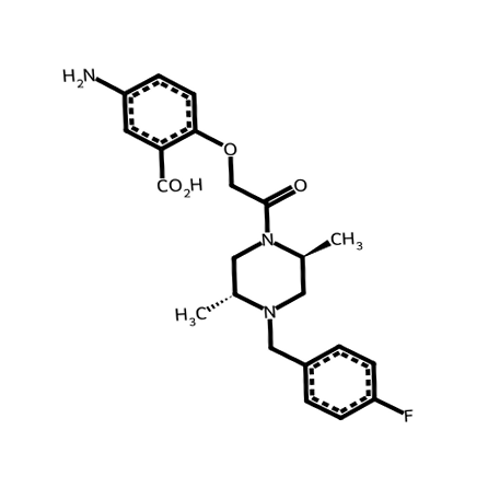 C[C@@H]1CN(C(=O)COc2ccc(N)cc2C(=O)O)[C@@H](C)CN1Cc1ccc(F)cc1